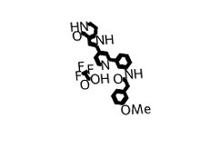 COc1cccc(CC(=O)Nc2cccc(-c3cc(-c4cc5c([nH]4)CCNC5=O)ccn3)c2)c1.O=C(O)C(F)(F)F